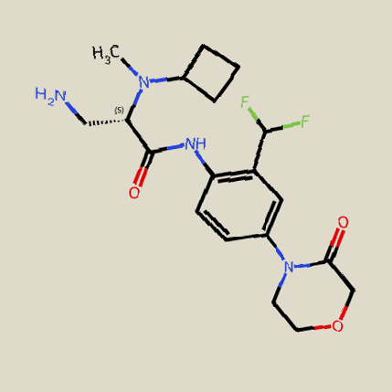 CN(C1CCC1)[C@@H](CN)C(=O)Nc1ccc(N2CCOCC2=O)cc1C(F)F